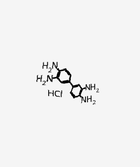 Cl.Nc1ccc(-c2ccc(N)c(N)c2)cc1N